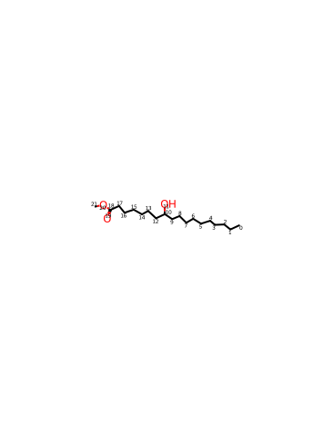 CCCCCCCCCCC(O)CCCCCCC(=O)OC